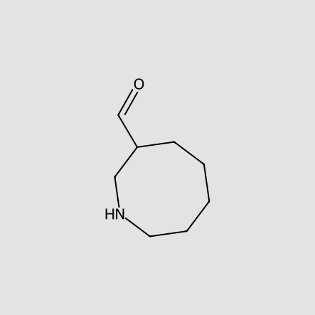 O=CC1CCCCCNC1